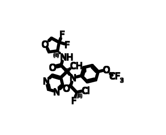 C[C@](C(=O)N[C@@H]1COCC1(F)F)(c1cncnc1)N(C(=O)[C@H](F)Cl)c1ccc(OC(F)(F)F)cc1